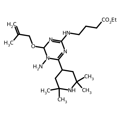 C=C(C)COC1N=C(NCCCC(=O)OCC)N=C(C2CC(C)(C)NC(C)(C)C2)N1N